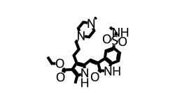 CCOC(=O)c1c(C)[nH]c(/C=C2\C(=O)Nc3ccc(S(=O)(=O)NC)cc32)c1CCCN1CCN(C)CC1